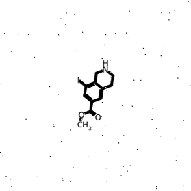 COC(=O)c1cc(I)c2c(c1)CCNC2